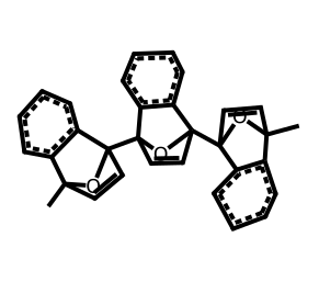 CC12C=CC(C34C=CC(C56C=CC(C)(O5)c5ccccc56)(O3)c3ccccc34)(O1)c1ccccc12